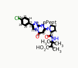 CCCCCn1c(N2CCC[C@H]2C(=O)NC(C)(C)C(C)C(=O)O)cc(=O)n2cc(-c3ccc(Cl)cc3)nc12